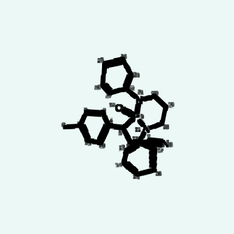 Cc1ccc(C(CC#N)P2(=O)N(c3ccccc3)CCCN2c2ccccc2)cc1